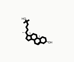 C[C@H](CCCC(C)(C)O)C1CCC2C3CC=C4C[C@@H](O)CC[C@]4(C)C3CC[C@@]21C